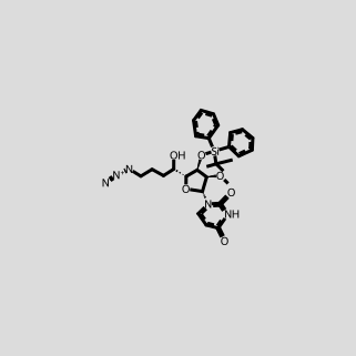 CO[C@@H]1[C@H](O[Si](c2ccccc2)(c2ccccc2)C(C)(C)C)[C@@H](C(O)CCCN=[N+]=[N-])O[C@H]1n1ccc(=O)[nH]c1=O